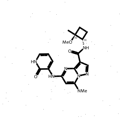 CNc1cc(Nc2ccc[nH]c2=O)nc2c(C(=O)N[C@H]3CC[C@]3(C)OC)cnn12